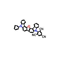 N#Cc1cc(C#N)c(-n2c3ccccc3c3c4oc5c(ccc6c5c5ccccc5n6-c5ccccc5)c4ccc32)c(C#N)c1